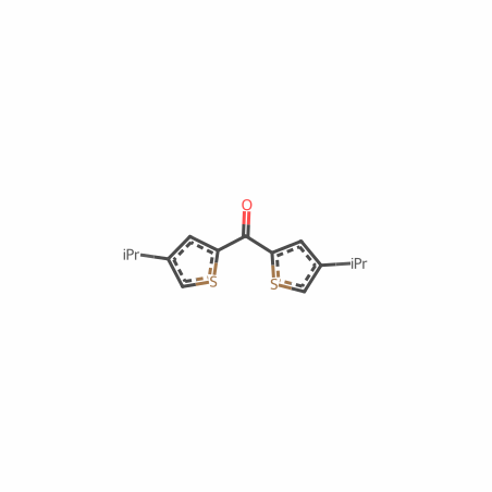 CC(C)c1csc(C(=O)c2cc(C(C)C)cs2)c1